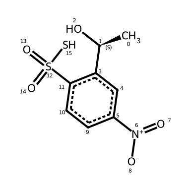 C[C@H](O)c1cc([N+](=O)[O-])ccc1S(=O)(=O)S